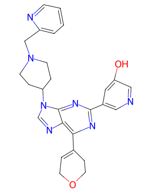 Oc1cncc(-c2nc(C3=CCOCC3)c3ncn(C4CCN(Cc5ccccn5)CC4)c3n2)c1